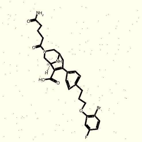 NC(=O)CCCC(=O)N1CC2CC(c3ccc(CCCOc4cc(F)ccc4Br)cc3)=C(C(=O)O)[C@@H](C1)N2